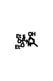 CCOP(=S)(OCC)n1nc(C)cc1O